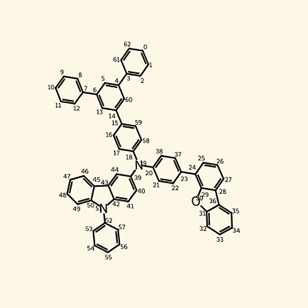 c1ccc(-c2cc(-c3ccccc3)cc(-c3ccc(N(c4ccc(-c5cccc6c5oc5ccccc56)cc4)c4ccc5c(c4)c4ccccc4n5-c4ccccc4)cc3)c2)cc1